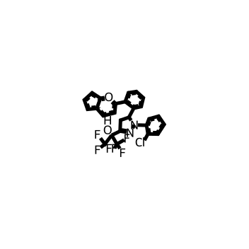 OC(C1=NN(c2ccccc2Cl)C(c2ccccc2-c2ccc3cccc-3o2)C1)(C(F)(F)F)C(F)(F)F